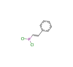 ClP(Cl)C=Cc1ccccc1